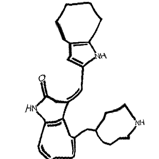 O=C1Nc2cccc(C3CCNCC3)c2/C1=C/c1cc2c([nH]1)CCCC2